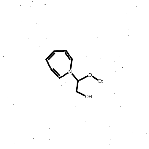 CCOC(CO)N1C=CC=CC=C1